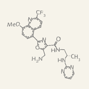 COc1ccc(-c2nc(C(=O)NC[C@H](C)Nc3ncccn3)c(CN)o2)c2ccc(C(F)(F)F)nc12